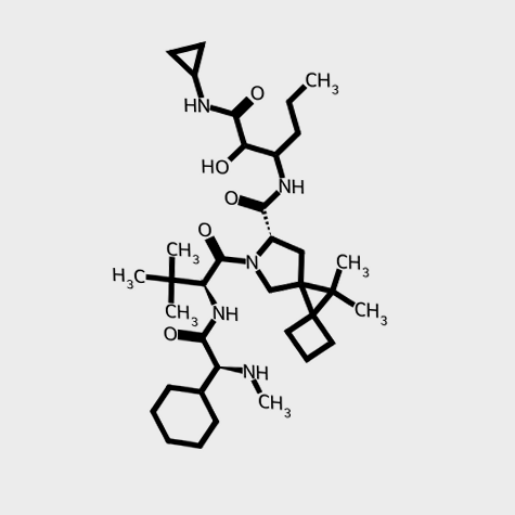 CCCC(NC(=O)[C@@H]1CC2(CN1C(=O)[C@@H](NC(=O)[C@@H](NC)C1CCCCC1)C(C)(C)C)C(C)(C)C21CCC1)C(O)C(=O)NC1CC1